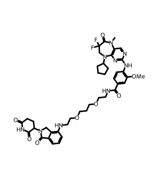 COc1cc(C(=O)NCCOCCCOCCNc2cccc3c2CN(C2CCC(=O)NC2=O)C3=O)ccc1Nc1ncc2c(n1)N(C1CCCC1)CC(F)(F)C(=O)N2C